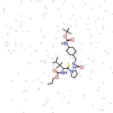 CCCOC(=O)N[C@H](C(=S)N1CCC[C@H]1C(=O)NCC1CCC(NC(=O)OC(C)(C)C)CC1)C(C)(C)C(C)C